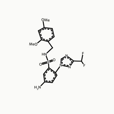 COc1ccc(CNS(=O)(=O)c2cc(N)ccc2-n2cnc(C(F)F)n2)c(OC)c1